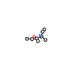 C1=Cc2c(c(-c3cc(-c4ccccc4)cc(-c4ccc5ccccc5c4)n3)cc3oc4cc(-c5ccccc5)ccc4c23)CC1